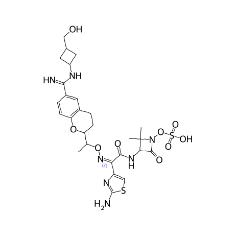 CC(O/N=C(\C(=O)NC1C(=O)N(OS(=O)(=O)O)C1(C)C)c1csc(N)n1)C1CCc2cc(C(=N)NC3CC(CO)C3)ccc2O1